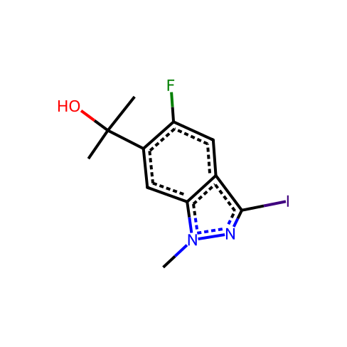 Cn1nc(I)c2cc(F)c(C(C)(C)O)cc21